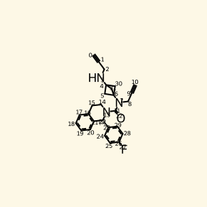 C#CCNC12CC(N(CC#C)C(=O)N3CCc4ccccc4[C@@H]3c3ccc(F)cc3)(C1)C2